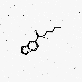 CCCCOC(=O)c1ccn2cccc2c1